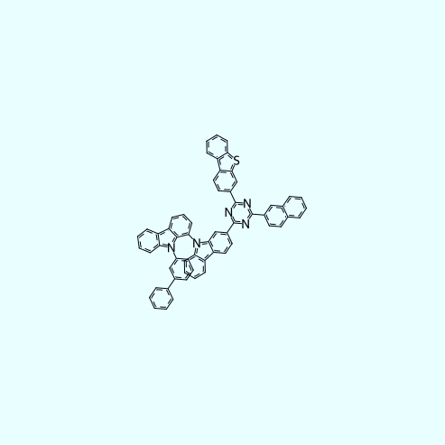 c1ccc(-c2cccc(-n3c4ccccc4c4cccc(-n5c6ccccc6c6ccc(-c7nc(-c8ccc9ccccc9c8)nc(-c8ccc9c(c8)sc8ccccc89)n7)cc65)c43)c2)cc1